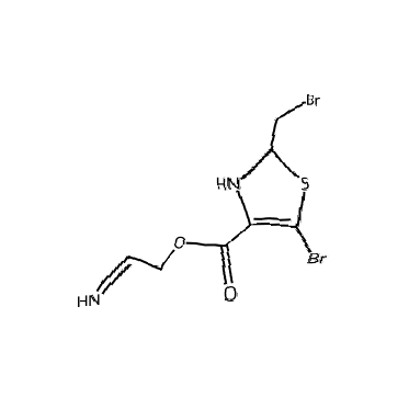 N=CCOC(=O)C1=C(Br)SC(CBr)N1